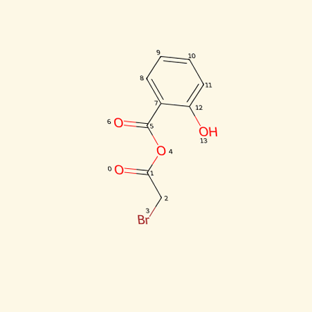 O=C(CBr)OC(=O)c1ccccc1O